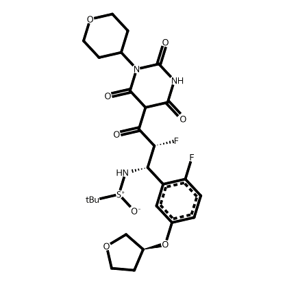 CC(C)(C)[S+]([O-])N[C@@H](c1cc(O[C@H]2CCOC2)ccc1F)[C@@H](F)C(=O)C1C(=O)NC(=O)N(C2CCOCC2)C1=O